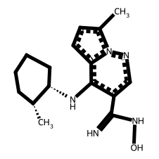 Cc1ccc2c(N[C@H]3CCCC[C@H]3C)c(C(=N)NO)cnn12